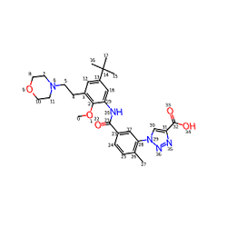 COc1c(CCN2CCOCC2)cc(C(C)(C)C)cc1NC(=O)c1ccc(C)c(-n2cc(C(=O)O)nn2)c1